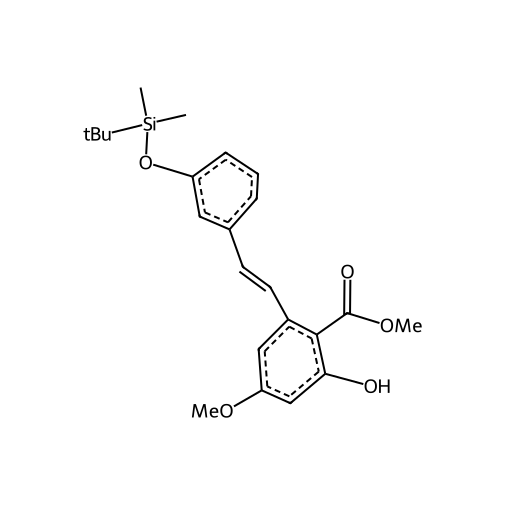 COC(=O)c1c(O)cc(OC)cc1C=Cc1cccc(O[Si](C)(C)C(C)(C)C)c1